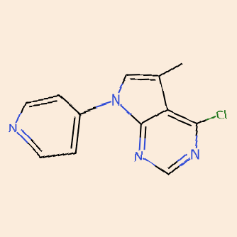 Cc1cn(-c2ccncc2)c2ncnc(Cl)c12